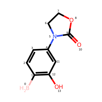 Bc1ccc(N2CCOC2=O)cc1O